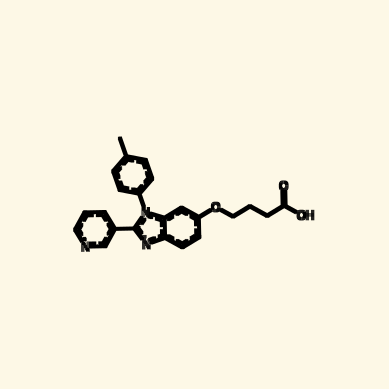 Cc1ccc(-n2c(-c3cccnc3)nc3ccc(OCCCC(=O)O)cc32)cc1